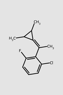 CC(=C1C(C)C1C)c1c(F)cccc1Cl